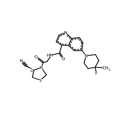 CC1(F)CCN(c2ccc3nccc(C(=O)NCC(=O)N4CSC[C@H]4C#N)c3c2)CC1